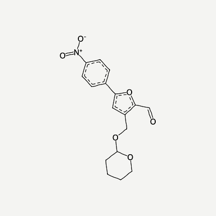 O=Cc1oc(-c2ccc([N+](=O)[O-])cc2)cc1COC1CCCCO1